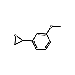 COc1cccc(C2CO2)c1